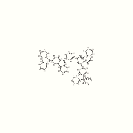 CC1(C)c2ccccc2-c2cc(-c3nc(-c4cccc(-n5c6ccccc6c6cc(-n7c8ccccc8c8ccccc87)ccc65)c4)nc4c3ccc3ccccc34)ccc21